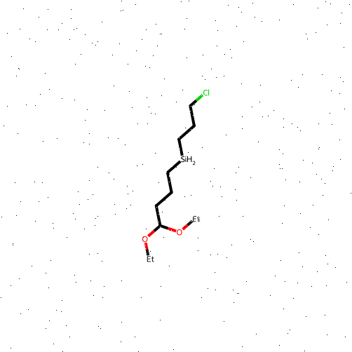 CCOC(CCC[SiH2]CCCCl)OCC